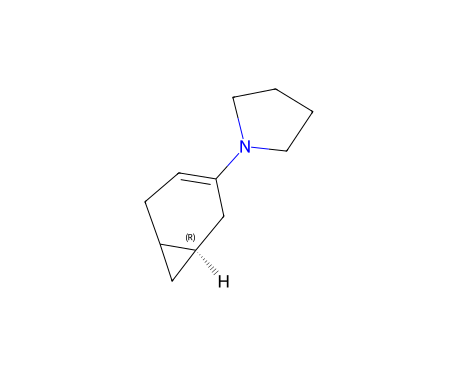 C1=C(N2CCCC2)C[C@H]2CC2C1